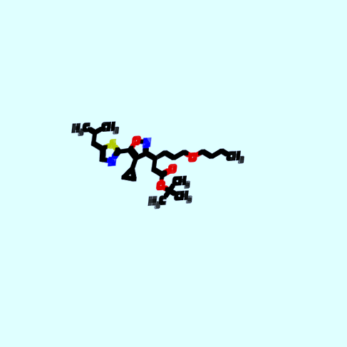 CCCCOCCC[C@@H](CC(=O)OC(C)(C)C)c1noc(-c2ncc(CC(C)C)s2)c1C1CC1